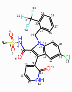 CS(=O)(=O)NC(=O)c1c(-c2ccc[nH]c2=O)c2cc(Cl)ccc2n1Cc1ccccc1C(F)(F)F